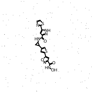 O=C(NO)c1cc(-c2cc(C3CC3NC(=O)c3cc(-c4nccs4)[nH]n3)cs2)on1